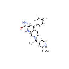 COc1cc(C(N2CCc3c(C4=CCC(C)CC4)cc(C(N)=O)nc3C2)C(F)(F)F)ccn1